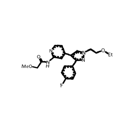 CCOCCn1cc(-c2ccnc(NC(=O)COC)c2)c(-c2ccc(F)cc2)n1